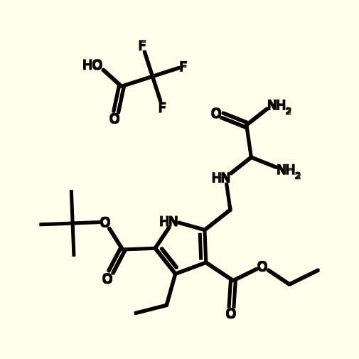 CCOC(=O)c1c(CNC(N)C(N)=O)[nH]c(C(=O)OC(C)(C)C)c1CC.O=C(O)C(F)(F)F